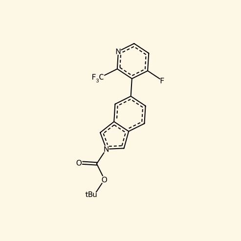 CC(C)(C)OC(=O)n1cc2ccc(-c3c(F)ccnc3C(F)(F)F)cc2c1